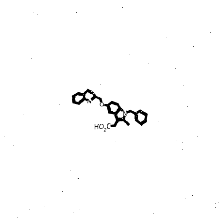 Cc1c(CC(=O)O)c2cc(OCc3ccc4ccccc4n3)ccc2n1Cc1ccccc1